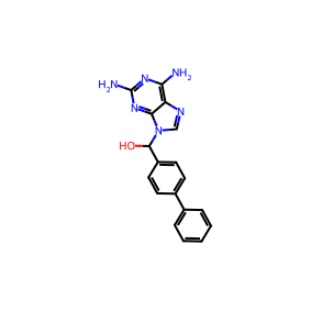 Nc1nc(N)c2ncn(C(O)c3ccc(-c4ccccc4)cc3)c2n1